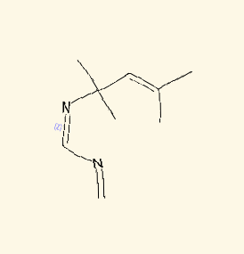 C=N/C=N\C(C)(C)C=C(C)C